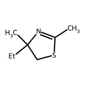 CCC1(C)CSC(C)=N1